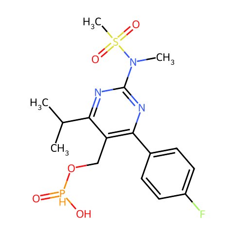 CC(C)c1nc(N(C)S(C)(=O)=O)nc(-c2ccc(F)cc2)c1CO[PH](=O)O